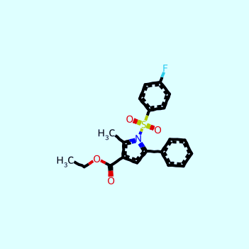 CCOC(=O)c1cc(-c2ccccc2)n(S(=O)(=O)c2ccc(F)cc2)c1C